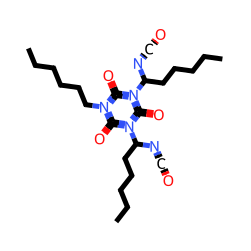 CCCCCCn1c(=O)n(C(CCCCC)N=C=O)c(=O)n(C(CCCCC)N=C=O)c1=O